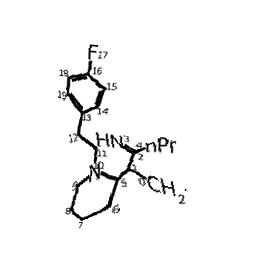 [CH2]C(C(=N)CCC)C1CCCCN1CCc1ccc(F)cc1